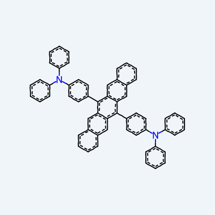 c1ccc(N(c2ccccc2)c2ccc(-c3c4cc5ccccc5cc4c(-c4ccc(N(c5ccccc5)c5ccccc5)cc4)c4cc5ccccc5cc34)cc2)cc1